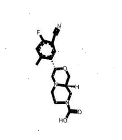 Cc1cc(F)c(C#N)cc1[C@H]1CN2CCN(C(=O)O)C[C@H]2CO1